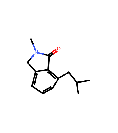 CC(C)Cc1cccc2c1C(=O)N(C)C2